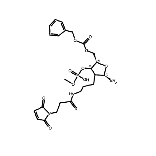 B[C@@H]1O[C@H](COC(=O)OCc2ccccc2)[C@H](OP(=O)(O)OC)C1CCCNC(=S)CCN1C(=O)C=CC1=O